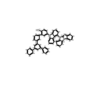 Sc1ccc(-n2c3ccccc3c3c(-n4c5ccccc5n5c6ccccc6nc45)cccc32)cc1-c1cccc(-c2cc(-c3ccccc3)cc(-c3ccccc3)c2)c1